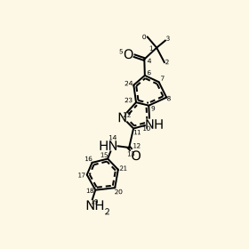 CC(C)(C)C(=O)c1ccc2[nH]c(C(=O)Nc3ccc(N)cc3)nc2c1